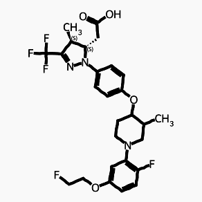 CC1CN(c2cc(OCCF)ccc2F)CCC1Oc1ccc(N2N=C(C(F)(F)F)[C@@H](C)[C@@H]2CC(=O)O)cc1